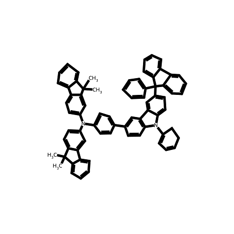 CC1(C)c2ccccc2-c2cc(N(c3ccc(-c4ccc5c(c4)c4cc(C6(c7ccccc7)c7ccccc7-c7ccccc76)ccc4n5C4=CC=CCC4)cc3)c3ccc4c(c3)C(C)(C)c3ccccc3-4)ccc21